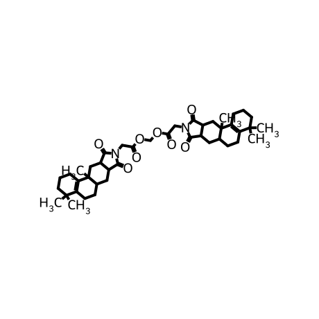 CC1(C)CCCC2=C1CCC1CC3C(=O)N(CC(=O)OCOC(=O)CN4C(=O)C5CC6CCC7=C(CCCC7(C)C)C6(C)CC5C4=O)C(=O)C3CC21C